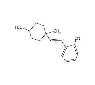 CC1CCC(C)(/C=C/c2ccccc2C#N)CC1